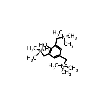 C[N+](C)(C)Cc1cc(C[N+](C)(C)C)c(O)c(C[N+](C)(C)C)c1